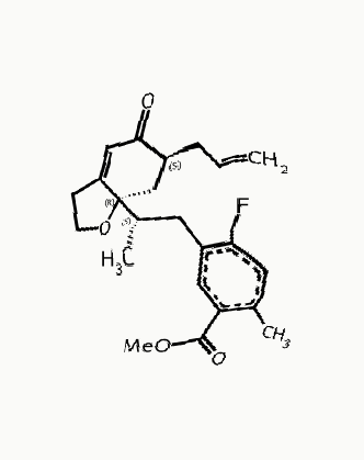 C=CC[C@H]1C[C@]2([C@@H](C)Cc3cc(C(=O)OC)c(C)cc3F)OCCC2=CC1=O